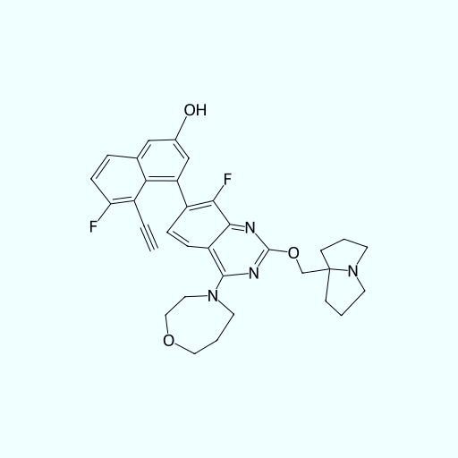 C#Cc1c(F)ccc2cc(O)cc(-c3ccc4c(N5CCCOCC5)nc(OCC56CCCN5CCC6)nc4c3F)c12